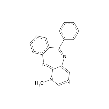 CN1C=NC=C2N=C(c3ccccc3)c3ccccc3N=C21